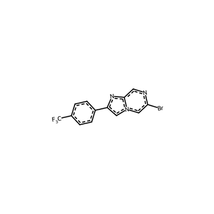 FC(F)(F)c1ccc(-c2cn3cc(Br)ncc3n2)cc1